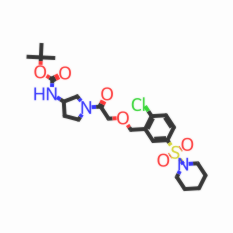 CC(C)(C)OC(=O)NC1CCN(C(=O)COCc2cc(S(=O)(=O)N3CCCCC3)ccc2Cl)C1